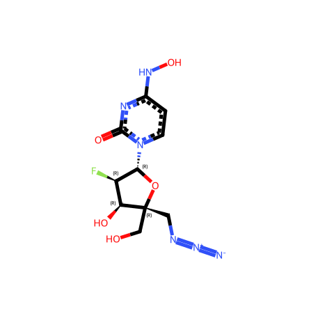 [N-]=[N+]=NC[C@]1(CO)O[C@@H](n2ccc(NO)nc2=O)[C@H](F)[C@@H]1O